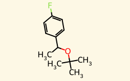 CC(OC(C)(C)C)c1ccc(F)cc1